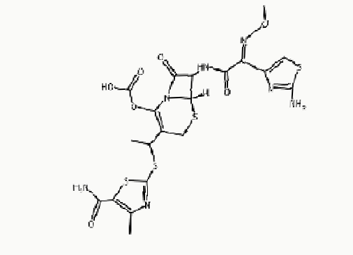 CON=C(C(=O)N[C@@H]1C(=O)N2C(OC(=O)O)=C(C(C)Sc3nc(C)c(C(N)=O)s3)CS[C@@H]12)c1csc(N)n1